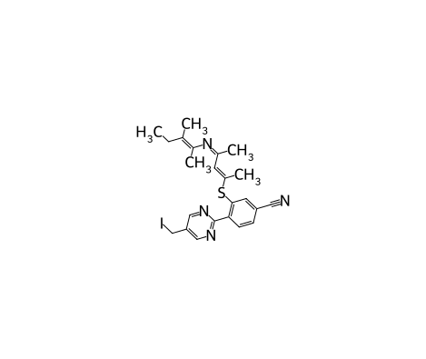 CC/C(C)=C(C)/N=C(C)\C=C(/C)Sc1cc(C#N)ccc1-c1ncc(CI)cn1